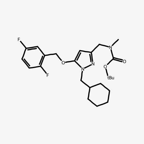 CN(Cc1cc(OCc2cc(F)ccc2F)n(CC2CCCCC2)n1)C(=O)OC(C)(C)C